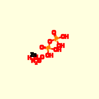 O.O.O.O=P(O)(O)OP(=O)(O)O.[Zn]